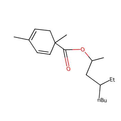 CCCCC(CC)CC(C)OC(=O)C1(C)C=CC(C)=CC1